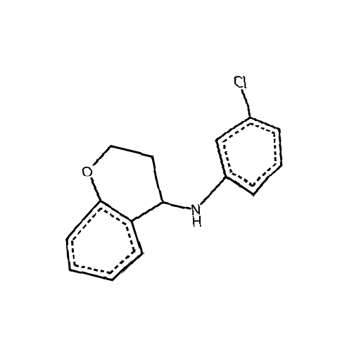 Clc1cccc(NC2CCOc3ccccc32)c1